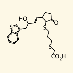 O=C(O)CSCCCSC1C(=O)CCC1C=CC(O)Cc1csc2ccccc12